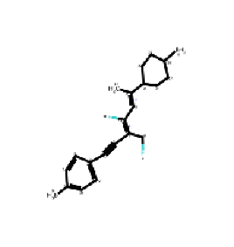 Bc1ccc(C#C/C(CF)=C(F)/C=C(\C)C2CCC(B)CC2)cc1